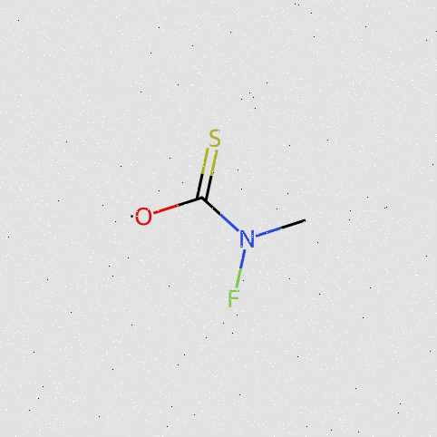 CN(F)C([O])=S